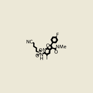 CNC(=O)c1c(-c2ccc(F)cc2)oc2nc(NS(=O)(=O)CCCCC#N)c(I)cc12